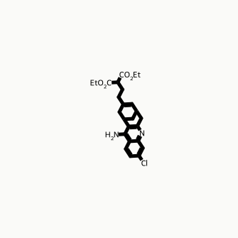 CCOC(=O)C(CCC1=CC2Cc3nc4cc(Cl)ccc4c(N)c3C(C1)C2)C(=O)OCC